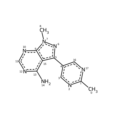 Cc1ncc(-c2nn(C)c3ncnc(N)c23)cn1